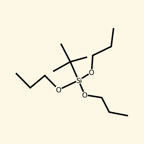 CCCO[Si](OCCC)(OCCC)C(C)(C)C